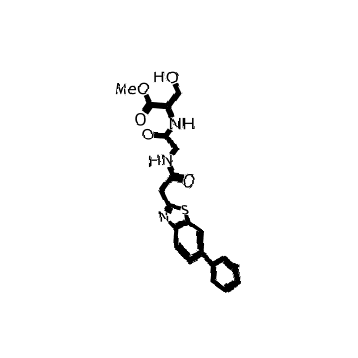 COC(=O)C(CO)NC(=O)CNC(=O)Cc1nc2ccc(-c3ccccc3)cc2s1